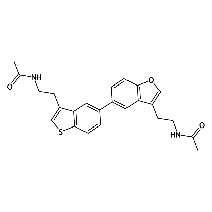 CC(=O)NCCc1coc2ccc(-c3ccc4scc(CCNC(C)=O)c4c3)cc12